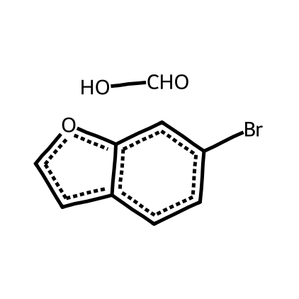 Brc1ccc2ccoc2c1.O=CO